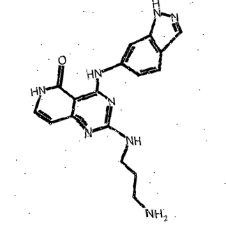 NCCCNc1nc(Nc2ccc3cn[nH]c3c2)c2c(=O)[nH]ccc2n1